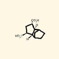 O=C(O)[C@H]1C[C@H](C(=O)O)[C@H]2C3CCC(C3)[C@@H]21